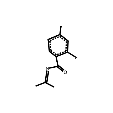 CC(C)=NC(=O)c1ccc(C)cc1F